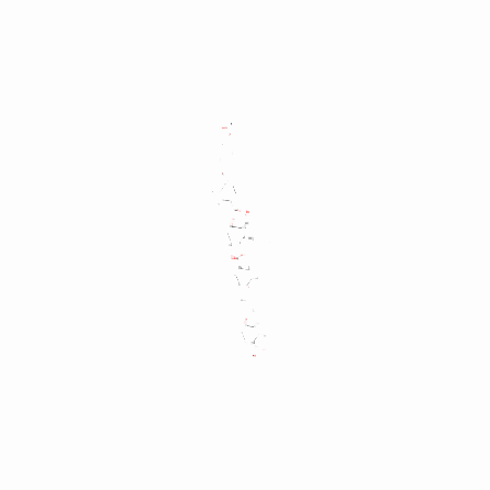 CC(=O)OCCCCOc1ccc(C(=O)Oc2ccc(OC(=O)c3ccc(OCCOc4ccc(B(O)O)cc4)cc3)c(C)c2C)cc1